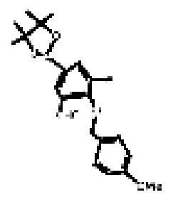 COc1ccc(COc2c(F)cc(B3OC(C)(C)C(C)(C)O3)cc2C=O)cc1